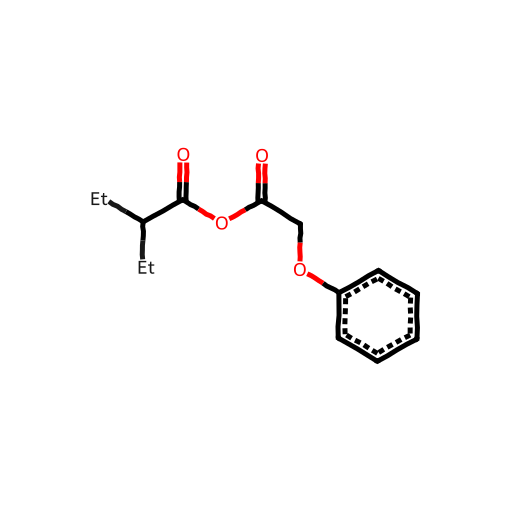 CCC(CC)C(=O)OC(=O)COc1ccccc1